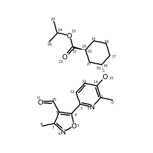 Cc1nc(-c2onc(C)c2C=O)ccc1O[C@H]1CCC[C@H](C(=O)OC(C)C)C1